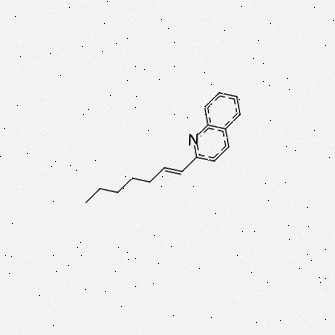 CCCCCC=Cc1ccc2ccccc2n1